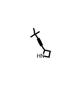 CC(C)(C)C#CC1CCN1